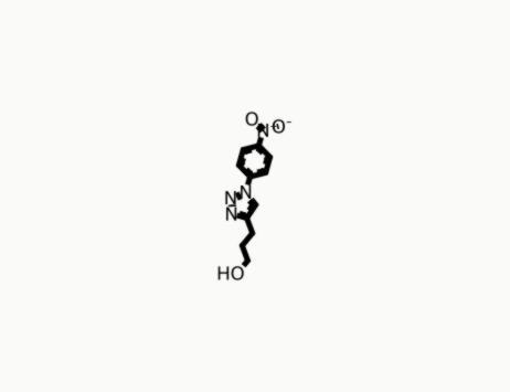 O=[N+]([O-])c1ccc(-n2cc(CCCO)nn2)cc1